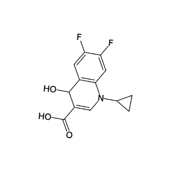 O=C(O)C1=CN(C2CC2)c2cc(F)c(F)cc2C1O